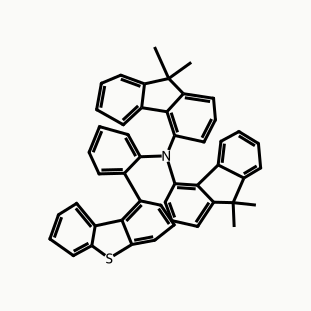 CC1(C)c2ccccc2-c2c(N(c3ccccc3-c3cccc4sc5ccccc5c34)c3cccc4c3-c3ccccc3C4(C)C)cccc21